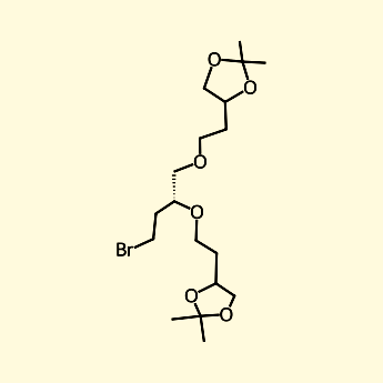 CC1(C)OCC(CCOC[C@@H](CCBr)OCCC2COC(C)(C)O2)O1